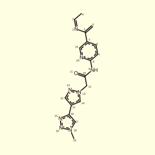 C=C(/N=C\C)c1ccc(NC(=O)Cn2cc(-c3cn(C)nn3)cn2)nc1